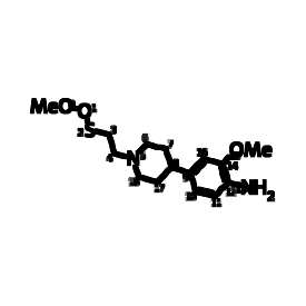 COOSCCN1CCC(c2ccc(N)c(OC)c2)CC1